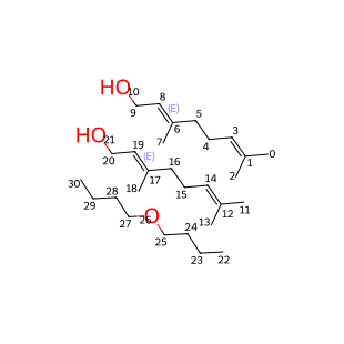 CC(C)=CCC/C(C)=C/CO.CC(C)=CCC/C(C)=C/CO.CCCCOCCCC